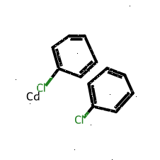 Clc1ccccc1.Clc1ccccc1.[Cd]